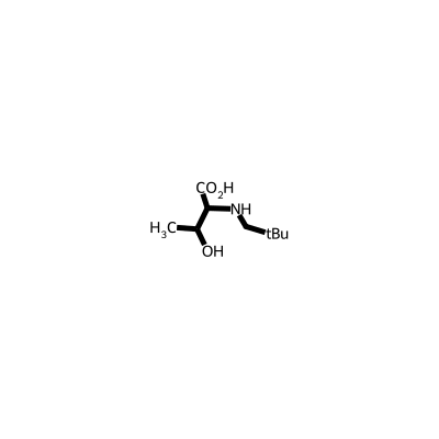 CC(O)C(NCC(C)(C)C)C(=O)O